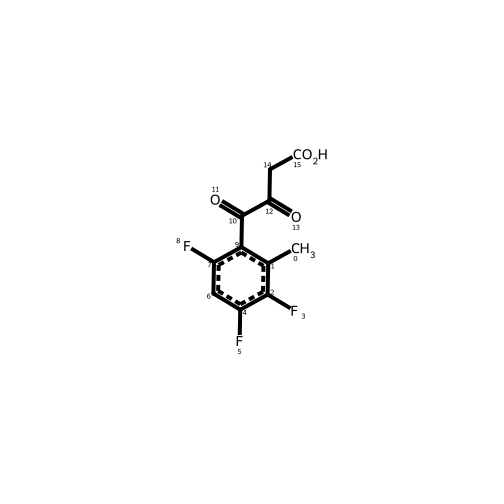 Cc1c(F)c(F)cc(F)c1C(=O)C(=O)CC(=O)O